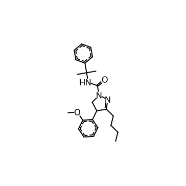 CCCCC1=NN(C(=O)NC(C)(C)c2ccccc2)CC1c1ccccc1OC